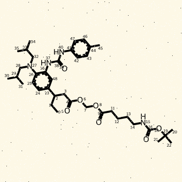 CCC(CC(=O)OCOC(=O)CCCCNC(=O)OC(C)(C)C)c1ccc(N(CC(C)C)CC(C)C)c(NC(=O)Nc2ccc(C)cc2)c1